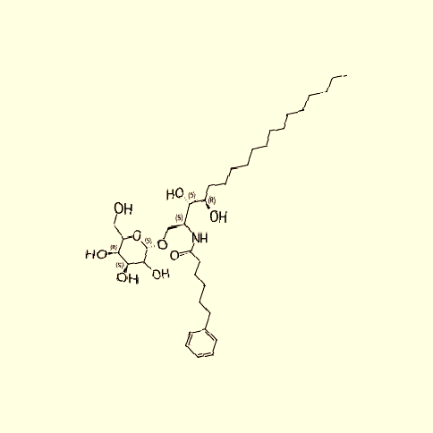 CCCCCCCCCCCCCC[C@@H](O)[C@@H](O)[C@H](CO[C@H]1OC(CO)[C@H](O)[C@H](O)C1O)NC(=O)CCCCCc1ccccc1